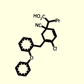 CC(C)C(C(=O)O)C1(C#N)C=CC(Cl)=C(Cc2ccccc2Oc2ccccc2)C1